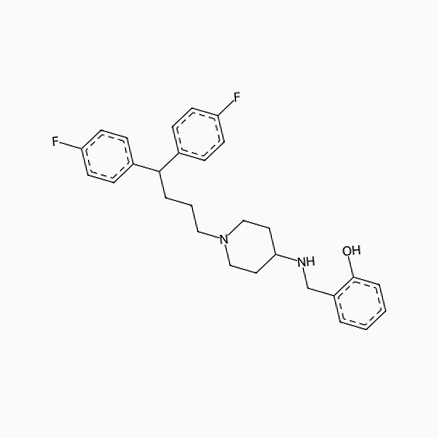 Oc1ccccc1CNC1CCN(CCCC(c2ccc(F)cc2)c2ccc(F)cc2)CC1